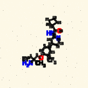 CC(C)CC(C)(N)COc1ccc(-c2ccnc(NC(=O)C3CCCC3)c2)cc1C(F)(F)F